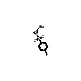 CC[C@H](C)[C@H]1CN1S(=O)(=O)c1ccc(F)cc1